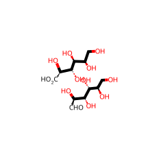 O=C(O)[C@H](O)[C@@H](O)[C@@H](O)[C@H](O)CO.O=C[C@@H](O)[C@@H](O)[C@H](O)[C@H](O)CO